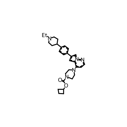 CCN1CCC(c2ccc(-c3cc4c(N5CCN(C(=O)OC6CCC6)CC5)ccnn4c3)cc2)CC1